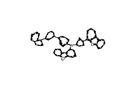 c1cc(-c2ccc(N(c3ccc(-c4cccc5c4oc4ccccc45)cc3)c3cccc4oc5ccccc5c34)cc2)cc(-c2cccc3ccccc23)c1